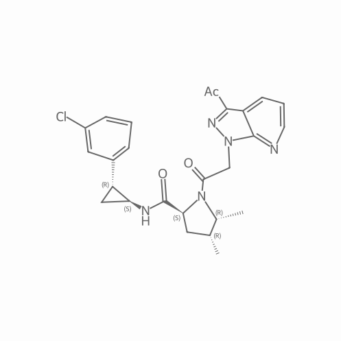 CC(=O)c1nn(CC(=O)N2[C@H](C)[C@H](C)C[C@H]2C(=O)N[C@H]2C[C@@H]2c2cccc(Cl)c2)c2ncccc12